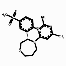 Cc1cc(N2CCCOC[C@@H]2c2cc(S(C)(=O)=O)ccc2Cl)nc(N)n1